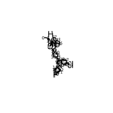 CCCNC(=O)N(CCN1CCC(c2cn(-c3ccc(F)cc3)c3cc(Cl)ccc23)CC1)C(C)(OC)OC